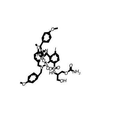 COc1ccc(CN(Cc2ccc(OC)cc2)S(=O)(=O)c2c(S(=O)(=O)NC(CO)COC(N)=O)ccc(I)c2-c2nnn(Cc3ccc(OC)cc3)n2)cc1